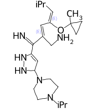 CC(C)/C=C(\C=C(/CN)C(=N)C1=CC(N2CCN(C(C)C)CC2)NN1)OC1(C)CC1